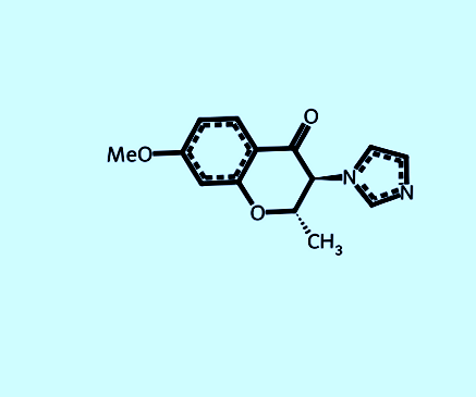 COc1ccc2c(c1)O[C@@H](C)[C@H](n1ccnc1)C2=O